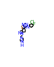 Fc1ccc(Nc2ncnc3sc4c(c23)CCc2c-4cnn2CCN2CCNCC2)cc1Cl